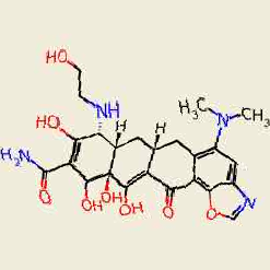 CN(C)c1cc2ncoc2c2c1C[C@H]1C[C@H]3[C@@H](NCCO)C(O)=C(C(N)=O)C(O)[C@@]3(O)C(O)=C1C2=O